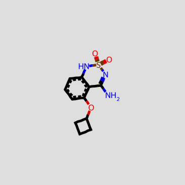 NC1=NS(=O)(=O)Nc2cccc(OC3CCC3)c21